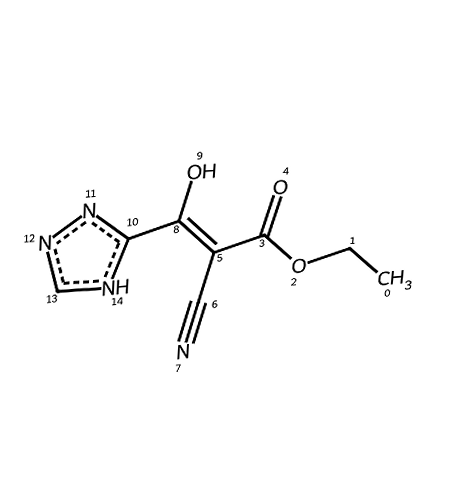 CCOC(=O)/C(C#N)=C(\O)c1nnc[nH]1